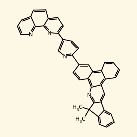 CC1(C)c2ccccc2-c2cc3c4ccccc4c4cc(-c5ccc(-c6ccc7ccc8cccnc8c7n6)cn5)ccc4c3nc21